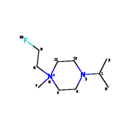 CC(C)N1CC[N+](C)(CCF)CC1